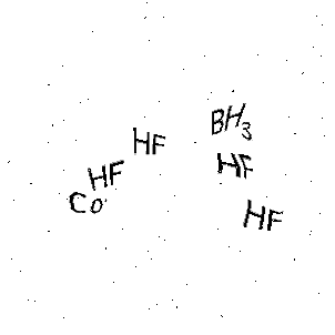 B.F.F.F.F.[Co]